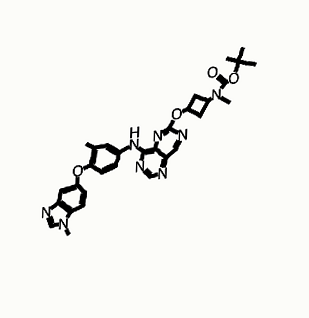 Cc1cc(Nc2ncnc3cnc(OC4CC(N(C)C(=O)OC(C)(C)C)C4)nc23)ccc1Oc1ccc2c(c1)ncn2C